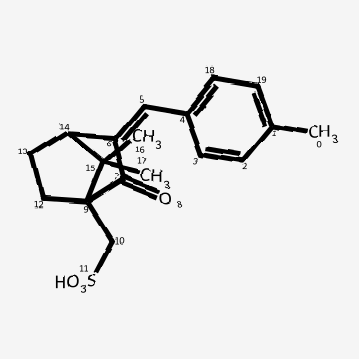 Cc1ccc(C=C2C(=O)C3(CS(=O)(=O)O)CCC2C3(C)C)cc1